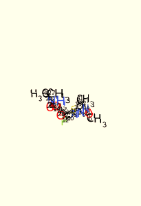 COc1cnc2c(-c3nc4cc(F)c5c(c4s3)C[C@@H](COC(=O)NCC(C)C)O5)cc(C)cc2n1